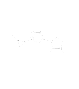 CC1CC1c1nnc(N2CCN(C)C2=O)s1